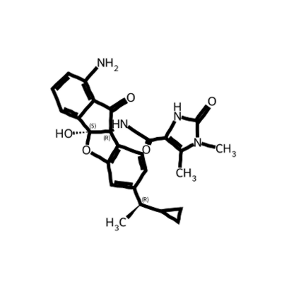 Cc1c(C(=O)N[C@@]23C(=O)c4c(N)cccc4[C@]2(O)Oc2cc([C@H](C)C4CC4)ccc23)[nH]c(=O)n1C